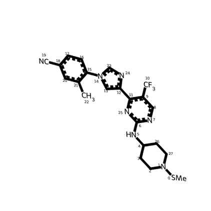 CSN1CCC(Nc2ncc(C(F)(F)F)c(-c3cn(-c4ccc(C#N)cc4C)cn3)n2)CC1